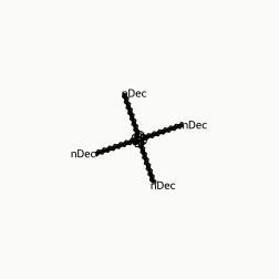 CCCCCCCCCCCCCCCCCCCCCCCC[Si]1(C)O[Si](C)(CCCCCCCCCCCCCCCCCCCCCCCC)O[Si](C)(CCCCCCCCCCCCCCCCCCCCCCCC)O[Si](C)(CCCCCCCCCCCCCCCCCCCCCCCC)O1